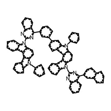 c1ccc(-n2c3ccccc3c3c4c5ccccc5n(-c5nc(-c6cccc(-c7ccc8c9c%10c%11ccccc%11n(-c%11nc(-c%12ccc%13ccccc%13c%12)c%12ccccc%12n%11)c%10ccc9n(-c9ccccc9)c8c7)c6)c6ccccc6n5)c4ccc32)cc1